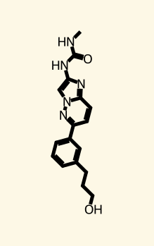 CNC(=O)Nc1cn2nc(-c3cccc(CCCO)c3)ccc2n1